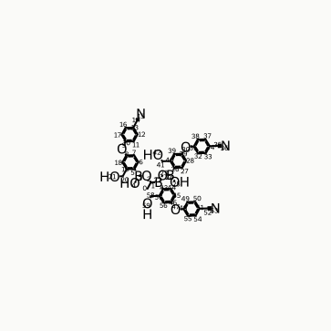 CC(OB(O)c1ccc(Oc2ccc(C#N)cc2)cc1CO)B(OB(O)c1ccc(Oc2ccc(C#N)cc2)cc1CO)c1ccc(Oc2ccc(C#N)cc2)cc1CO